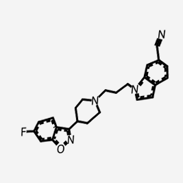 N#Cc1ccc2ccn(CCCN3CCC(c4noc5cc(F)ccc45)CC3)c2c1